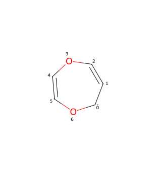 [CH]1C=COC=CO1